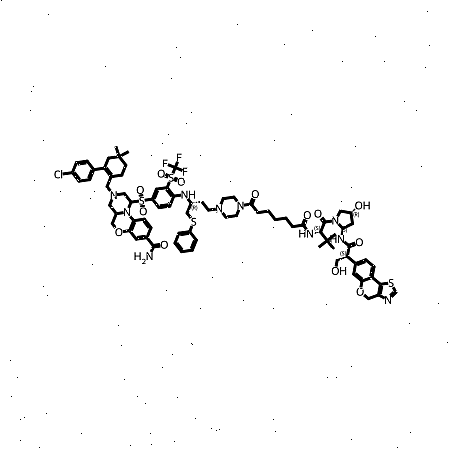 CC1(C)CCC(CN2CC3COc4cc(C(N)=O)ccc4N3C(S(=O)(=O)c3ccc(N[C@H](CCN4CCN(C(=O)CCCCCC(=O)N[C@H](C(=O)N5C[C@H](O)C[C@H]5NC(=O)[C@H](CO)c5ccc6c(c5)OCc5ncsc5-6)C(C)(C)C)CC4)CSc4ccccc4)c(S(=O)(=O)C(F)(F)F)c3)C2)=C(c2ccc(Cl)cc2)C1